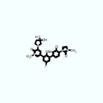 COc1c(-c2ccc(-n3ccn(C)c3=O)c(Cl)c2)cc(F)cc1-c1cc(N2CCC(C)(O)C2)c(=O)n(C)c1